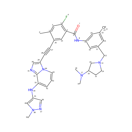 Cc1cc(F)c(C(=O)Nc2cc(CN3CCC(N(C)C)C3)cc(C(F)(F)F)c2)cc1C#Cc1cnc2c(Nc3cnn(C)c3)cccn12